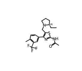 CC[C@@H]1CCCN1Cc1sc(NC(C)=O)nc1-c1ccc(C)c(C(F)(F)F)c1